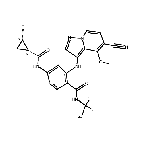 [2H]C([2H])([2H])NC(=O)c1cnc(NC(=O)[C@@H]2C[C@@H]2F)cc1Nc1cnn2ccc(C#N)c(OC)c12